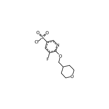 O=S(=O)(Cl)c1cnc(OCC2CCOCC2)c(F)c1